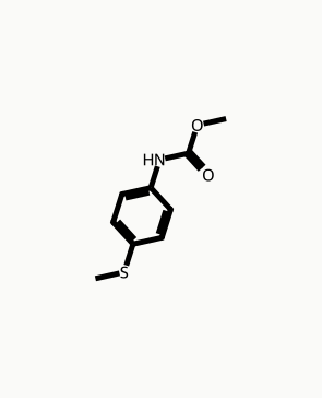 COC(=O)Nc1ccc(SC)cc1